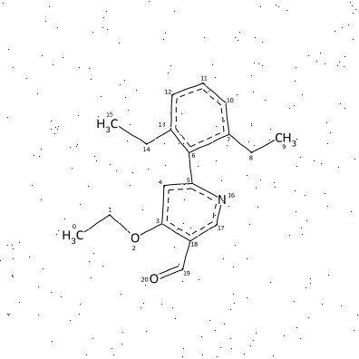 CCOc1cc(-c2c(CC)cccc2CC)ncc1C=O